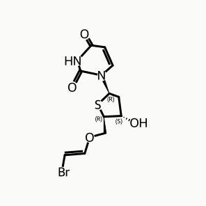 O=c1ccn([C@H]2C[C@H](O)[C@@H](COC=CBr)S2)c(=O)[nH]1